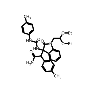 CCOC(CN1C(=O)C(NC(=O)Nc2ccc(C)cc2)(C(C(N)=O)c2ccc(C)cc2)c2ccccc21)OCC